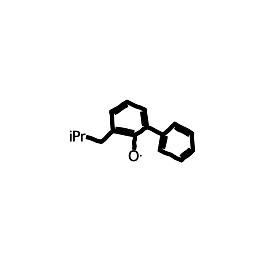 CC(C)Cc1cccc(-c2ccccc2)c1[O]